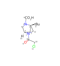 CC(C)(C)[C@@]12C[C@H](CN1C(=O)O)N(C(=O)CCl)C2